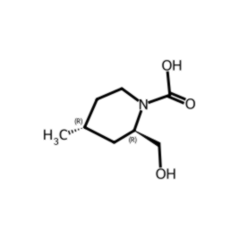 C[C@@H]1CCN(C(=O)O)[C@@H](CO)C1